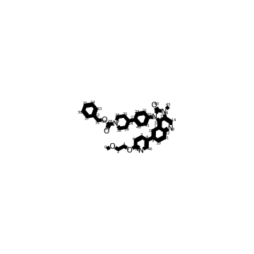 COCCOc1ccc(-c2ccc3ncc4c(c3c2)n(-c2ccc(C3CCN(C(=O)OCc5ccccc5)CC3)cc2)c(=O)n4C)cn1